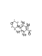 [2H]c1c([2H])c(N2CCOCC2)c([2H])c([2H])c1C=O